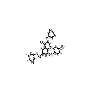 O=c1c(Cc2cccnc2)cn2c3c(cc(OCc4cccnc4)cc13)Sc1ccc(Br)cc1-2